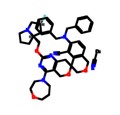 N#Cc1c(N(Cc2ccccc2)Cc2ccccc2)ccc2c1C1(COC2)Cc2nc(OC[C@@]34CCCN3C[C@H](F)C4)nc(N3CCCOCC3)c2CO1.N#[C][Cu]